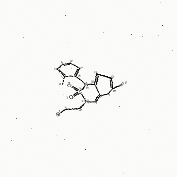 O=S1(=O)N(CCBr)C=C2CC(F)=CC=C2N1c1ccccc1F